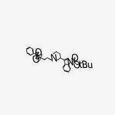 CC(C)(C)OC(=O)n1cc(C2CCCN(CCCC(C)(C)S(=O)(=O)c3ccccc3)C2)c2ccccc21